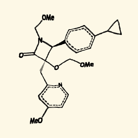 COCO[C@@]1(Cc2cc(OC)ccn2)C(=O)N(COC)[C@H]1c1ccc(C2CC2)cc1